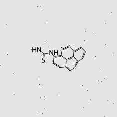 [NH]C(=S)Nc1ccc2ccc3cccc4ccc1c2c34